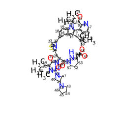 CCn1c(-c2cccnc2[C@H](C)OC)c2c3cc(ccc31)-c1csc(n1)C[C@H](NC(=O)C(C(C)C)N(C)C(=O)N1CC(N3CCCC3)C1)C(=O)N1CCC[C@H](N1)C(=O)OCC(C)(C)C2